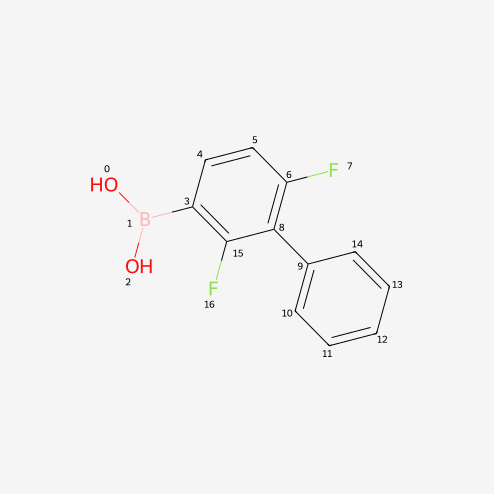 OB(O)c1ccc(F)c(-c2ccccc2)c1F